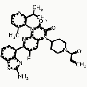 C=CC(=O)N1CCC(n2c(=O)c(=O)n(-c3c(C)ccnc3C(C)C)c3nc(-c4cccc5sc(N)nc45)c(F)cc32)CC1